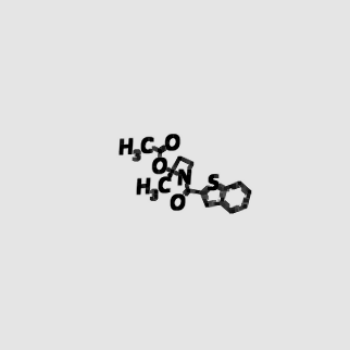 CC(=O)O[C@]1(C)CCN1C(=O)c1cc2ccccc2s1